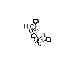 CN(Cc1ccccc1)S(=O)(=O)c1ccc2c(c1)/C(=N/Nc1ccccc1Cl)C(=O)N2